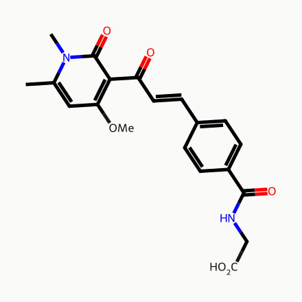 COc1cc(C)n(C)c(=O)c1C(=O)C=Cc1ccc(C(=O)NCC(=O)O)cc1